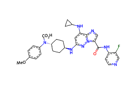 COc1ccc(N(C(=O)O)[C@H]2CC[C@H](Nc3cc(NC4CC4)c4ncc(C(=O)Nc5ccncc5F)n4n3)CC2)cc1